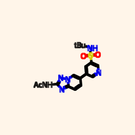 CC(=O)Nc1nc2ccc(-c3cncc(S(=O)(=O)NC(C)(C)C)c3)cn2n1